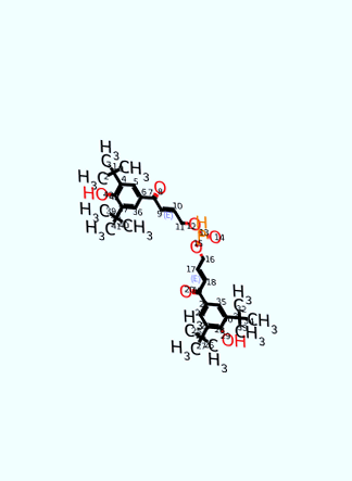 CC(C)(C)c1cc(C(=O)/C=C/CO[PH](=O)OC/C=C/C(=O)c2cc(C(C)(C)C)c(O)c(C(C)(C)C)c2)cc(C(C)(C)C)c1O